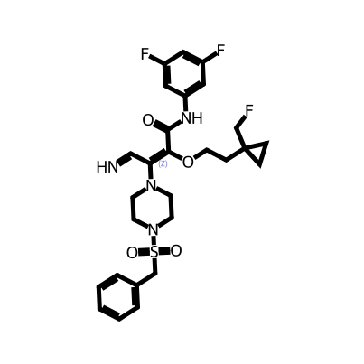 N=C/C(=C(/OCCC1(CF)CC1)C(=O)Nc1cc(F)cc(F)c1)N1CCN(S(=O)(=O)Cc2ccccc2)CC1